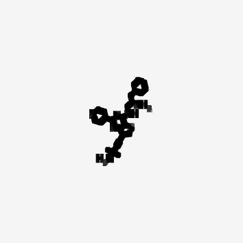 CC(C)(N)C#Cc1csc2c(NC[C@@H](N)Cc3ccccc3)nc(-c3ccncc3)nc12